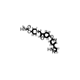 CNC(=O)OC1CCN(Cc2coc3cc(Oc4ccc(-c5ccn[nH]5)cn4)ccc23)CC1